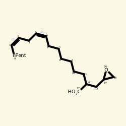 CCCCC/C=C\C/C=C\CCCCCCC(CC1CO1)C(=O)O